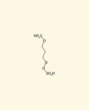 O=S(=O)(O)OCCCOOS(=O)(=O)O